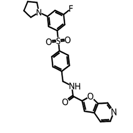 O=C(NCc1ccc(S(=O)(=O)c2cc(F)cc(N3CCCC3)c2)cc1)c1cc2ccncc2o1